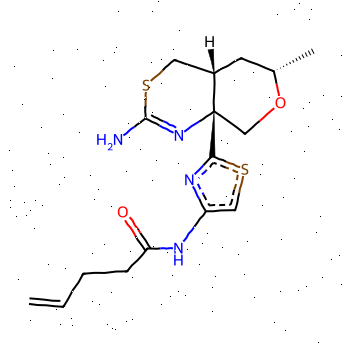 C=CCCC(=O)Nc1csc([C@]23CO[C@@H](C)C[C@H]2CSC(N)=N3)n1